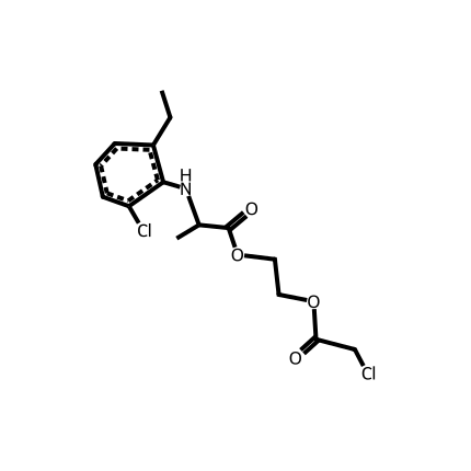 CCc1cccc(Cl)c1NC(C)C(=O)OCCOC(=O)CCl